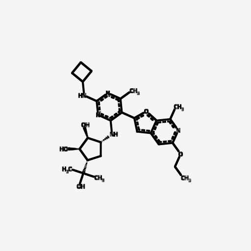 CCOc1cc2cc(-c3c(C)nc(NC4CCC4)nc3N[C@@H]3C[C@H](C(C)(C)O)[C@@H](O)[C@H]3O)oc2c(C)n1